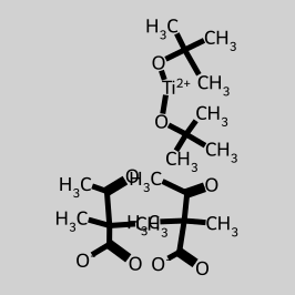 CC(=O)C(C)(C)C(=O)[O-].CC(=O)C(C)(C)C(=O)[O-].CC(C)(C)[O][Ti+2][O]C(C)(C)C